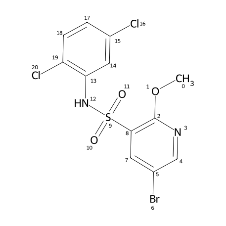 COc1ncc(Br)cc1S(=O)(=O)Nc1cc(Cl)ccc1Cl